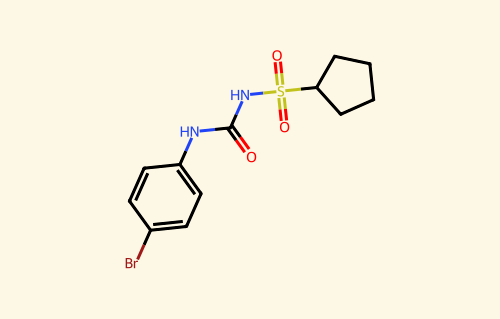 O=C(Nc1ccc(Br)cc1)NS(=O)(=O)C1CCCC1